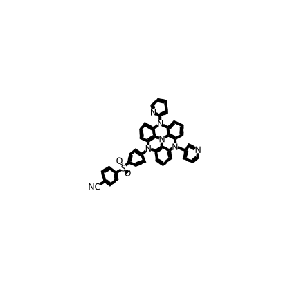 N#Cc1ccc(S(=O)(=O)c2ccc(N3c4cccc5c4N4c6c3cccc6N(c3ccccn3)c3cccc(c34)N5c3cccnc3)cc2)cc1